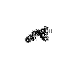 COC(=O)[C@@H]1CCCCN1C=C=C=NC(=O)[C@@H](Cc1cc(C)c(O)c(Br)c1)ON1CCC(N2CCc3ccccc3NC2=O)CC1